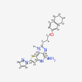 Cn1c(CCCOc2ccc3c(c2)CCCC3)nc2c(N)nc3cc(-n4cccn4)sc3c21